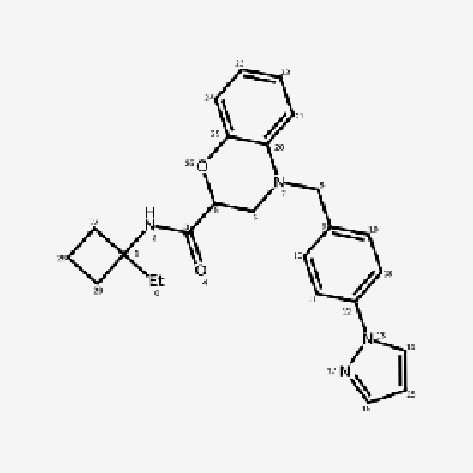 CCC1(NC(=O)C2CN(Cc3ccc(-n4cccn4)cc3)c3ccccc3O2)CCC1